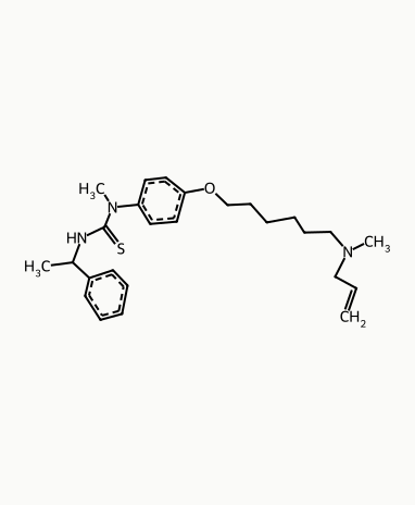 C=CCN(C)CCCCCCOc1ccc(N(C)C(=S)NC(C)c2ccccc2)cc1